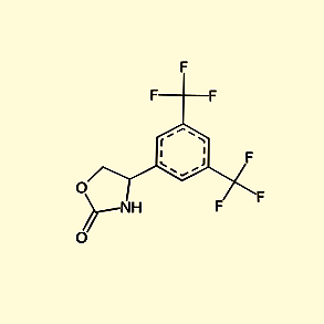 O=C1NC(c2cc(C(F)(F)F)cc(C(F)(F)F)c2)CO1